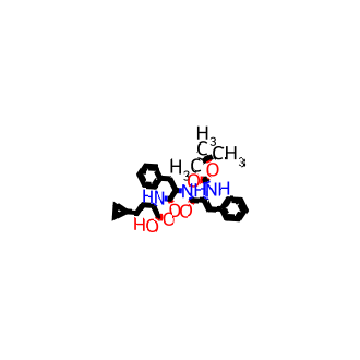 CC(C)(C)OC(=O)NC(Cc1ccccc1)C(=O)NC(Cc1ccccc1)C(=O)NC(CCC1CC1)C(=O)O